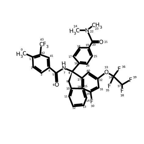 Cc1ccc(C(=O)N[C@](Cc2ccccc2)(c2ccc(C(=O)N(C)C)cc2)c2cc(F)cc(OC(F)(F)C(F)F)c2)cc1C(F)(F)F